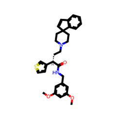 COc1cc(CNC(=O)[C@@H](CCN2CCC3(C=Cc4ccccc43)CC2)c2ccsc2)cc(OC)c1